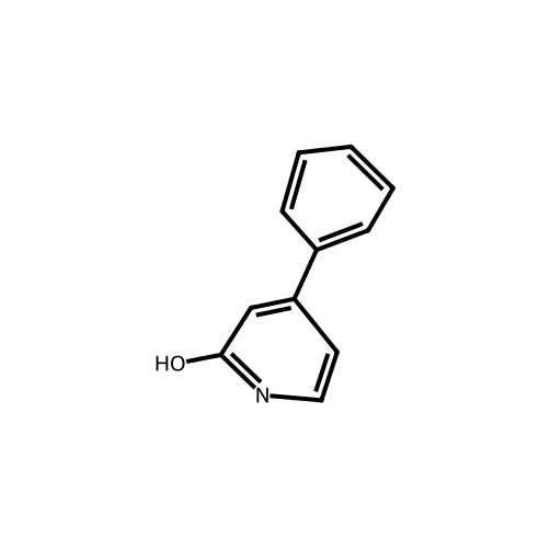 Oc1cc(-c2ccccc2)ccn1